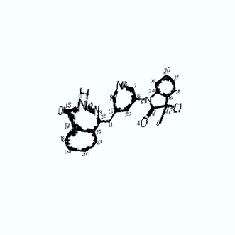 CC1(Cl)C(=O)N(c2cncc(Cc3n[nH]c(=O)c4ccccc34)c2)c2ccccc21